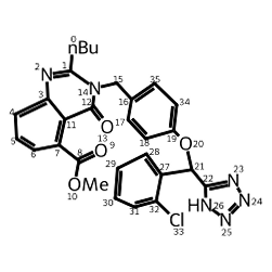 CCCCc1nc2cccc(C(=O)OC)c2c(=O)n1Cc1ccc(OC(c2nnn[nH]2)c2ccccc2Cl)cc1